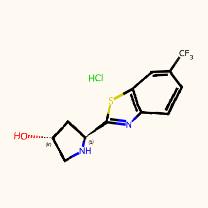 Cl.O[C@H]1CN[C@H](c2nc3ccc(C(F)(F)F)cc3s2)C1